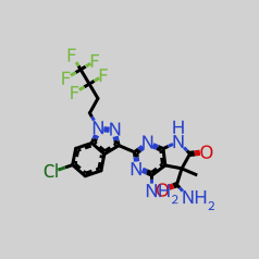 CC1(C(N)=O)C(=O)Nc2nc(-c3nn(CCC(F)(F)C(F)(F)F)c4cc(Cl)ccc34)nc(N)c21